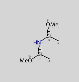 CO[SiH](C)N[SiH](C)OC